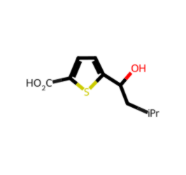 CC(C)CC(O)c1ccc(C(=O)O)s1